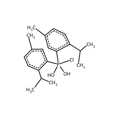 Cc1ccc(C(C)C)c(P(O)(O)(Cl)c2cc(C)ccc2C(C)C)c1